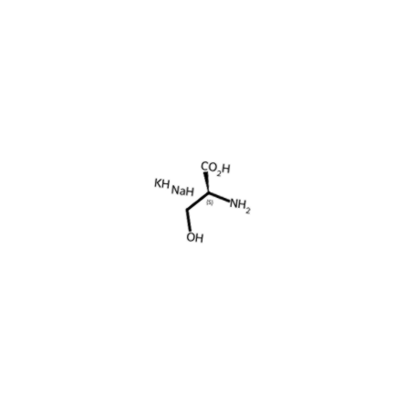 N[C@@H](CO)C(=O)O.[KH].[NaH]